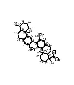 CC(C)c1cc2c(cc1-c1cc3c(cc1C(C)C)CCC1C(C)(C(=O)Cl)CCCC31C)C1(C)CCCC(C)C1CC2